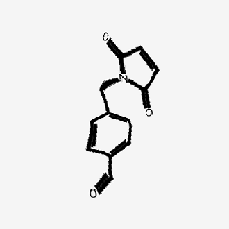 O=Cc1ccc(CN2C(=O)C=CC2=O)cc1